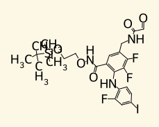 CC(C)(C)[Si](C)(C)OCCONC(=O)c1cc(CNC(=O)C=O)c(F)c(F)c1Nc1ccc(I)cc1F